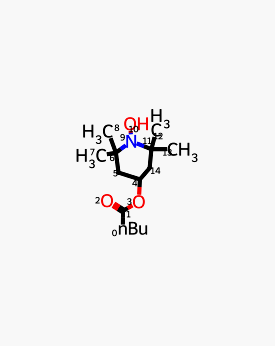 CCCCC(=O)OC1CC(C)(C)N(O)C(C)(C)C1